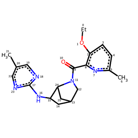 CCOc1ccc(C)nc1C(=O)N1CC2CC(Nc3ncc(C)cn3)C1C2